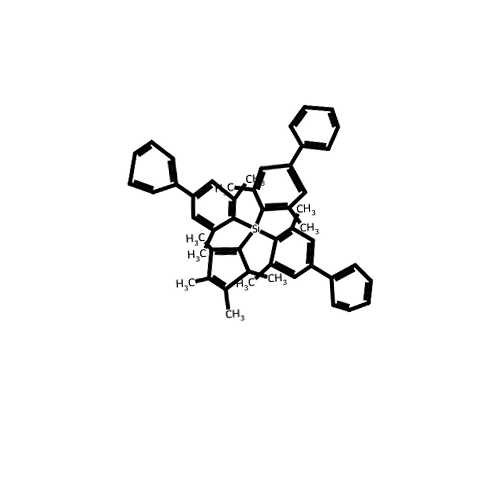 CC1=C(C)C(C)C([Si](c2c(C)cc(-c3ccccc3)cc2C)(c2c(C)cc(-c3ccccc3)cc2C)c2c(C)cc(-c3ccccc3)cc2C)=C1C